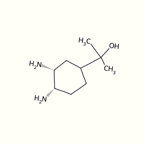 CC(C)(O)C1CC[C@H](N)[C@H](N)C1